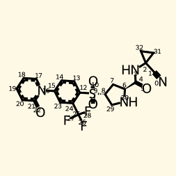 N#CC1(NC(=O)[C@@H]2C[C@@H](S(=O)(=O)c3ccc(-n4ccccc4=O)cc3C(F)(F)F)CN2)CC1